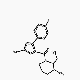 Cc1nc(C(=O)N2CCCC(C)C2CN)c(-c2ccc(F)cc2)s1